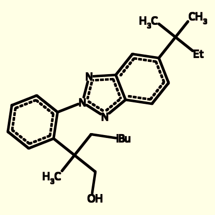 CCC(C)CC(C)(CO)c1ccccc1-n1nc2ccc(C(C)(C)CC)cc2n1